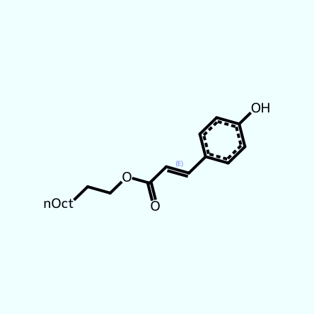 CCCCCCCCCCOC(=O)/C=C/c1ccc(O)cc1